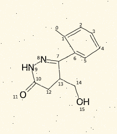 Cc1ccccc1C1=NNC(=O)CC1CO